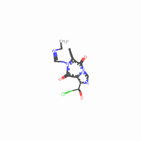 C=c1c(=O)n2cnc(C(=O)Cl)c2c(=O)n1/C=N\CC(=O)O